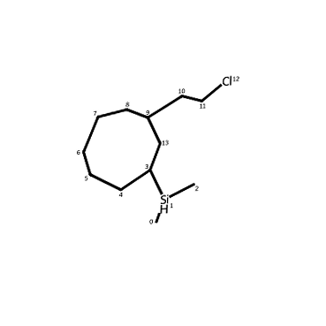 C[SiH](C)C1CCCCCC(CCCl)C1